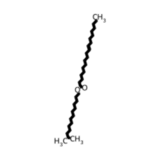 CCCCCCCCC=CCCCCCCCCCC(=O)OCCCCCCCCCCCCC(C)C